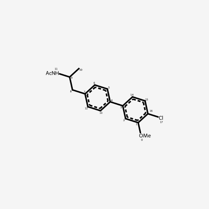 COc1cc(-c2ccc(CC(C)NC(C)=O)cc2)ccc1Cl